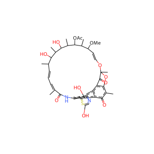 COC1/C=C/OC2(C)Oc3c(C)c(=O)c4c(O)c(c5sc(O)cnc5c4c3C2=O)NC(=O)/C(C)=C\C=C\C(C)C(O)C(C)C(O)C(C)C(OC(C)=O)C1C